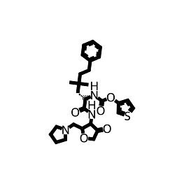 CC(C)(CCc1ccccc1)C[C@H](NC(=O)Oc1ccsc1)C(=O)NC1C(=O)COC1CN1CCCC1